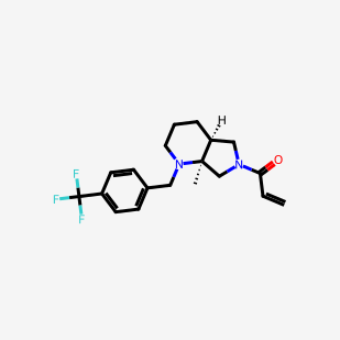 C=CC(=O)N1C[C@@H]2CCCN(Cc3ccc(C(F)(F)F)cc3)[C@]2(C)C1